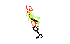 O=S(=O)(Oc1ccc(C2CCCCC2)cc1)C(F)(F)C(F)(F)C(F)(F)SOOO